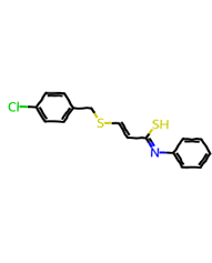 SC(C=CSCc1ccc(Cl)cc1)=Nc1ccccc1